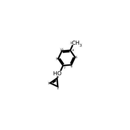 C1=CC1.Cc1ccc(O)cc1